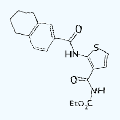 CCOC(=O)NC(=O)c1ccsc1NC(=O)c1ccc2c(c1)CCCC2